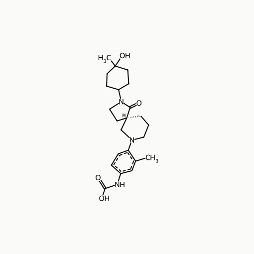 Cc1cc(NC(=O)O)ccc1N1CCC[C@@]2(CCN(C3CCC(C)(O)CC3)C2=O)C1